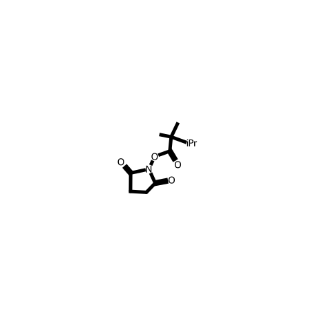 CC(C)C(C)(C)C(=O)ON1C(=O)CCC1=O